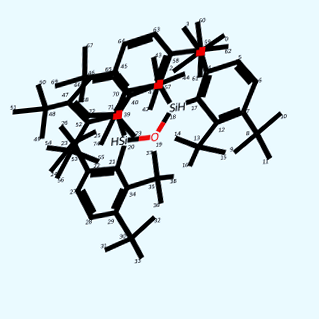 CC(C)(C)c1ccc(C(C)(C)C)c(C(C)(C)C)c1[SiH](O[SiH](c1c(C(C)(C)C)ccc(C(C)(C)C)c1C(C)(C)C)c1c(C(C)(C)C)ccc(C(C)(C)C)c1C(C)(C)C)c1c(C(C)(C)C)ccc(C(C)(C)C)c1C(C)(C)C